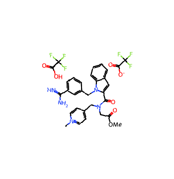 COC(=O)CN(Cc1cc[n+](C)cc1)C(=O)c1cc2ccccc2n1Cc1cccc(C(=N)N)c1.O=C(O)C(F)(F)F.O=C([O-])C(F)(F)F